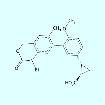 CCN1C(=O)OCc2cc(C)c(-c3cc([C@@H]4C[C@H]4C(=O)O)ccc3OC(F)(F)F)cc21